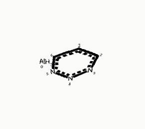 [AlH3].c1cnnnc1